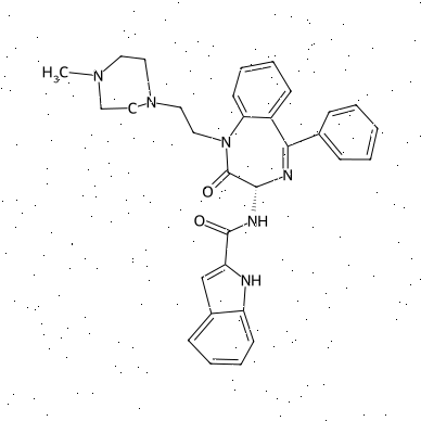 CN1CCN(CCN2C(=O)[C@@H](NC(=O)c3cc4ccccc4[nH]3)N=C(c3ccccc3)c3ccccc32)CC1